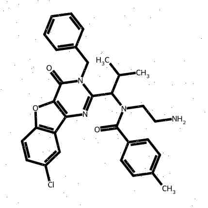 Cc1ccc(C(=O)N(CCN)C(c2nc3c(oc4ccc(Cl)cc43)c(=O)n2Cc2ccccc2)C(C)C)cc1